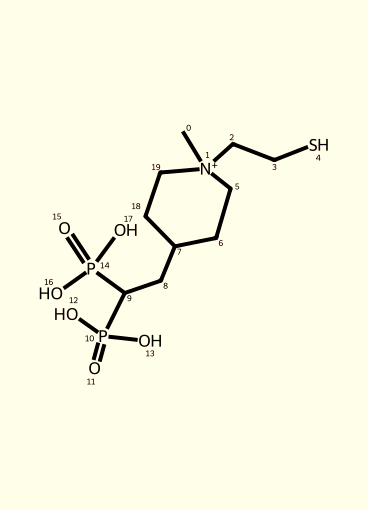 C[N+]1(CCS)CCC(CC(P(=O)(O)O)P(=O)(O)O)CC1